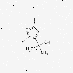 CC(C)(C)c1cc(F)oc1F